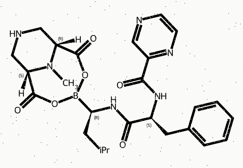 CC(C)C[C@H](NC(=O)[C@H](Cc1ccccc1)NC(=O)c1cnccn1)B1OC(=O)[C@H]2CNC[C@@H](C(=O)O1)N2C